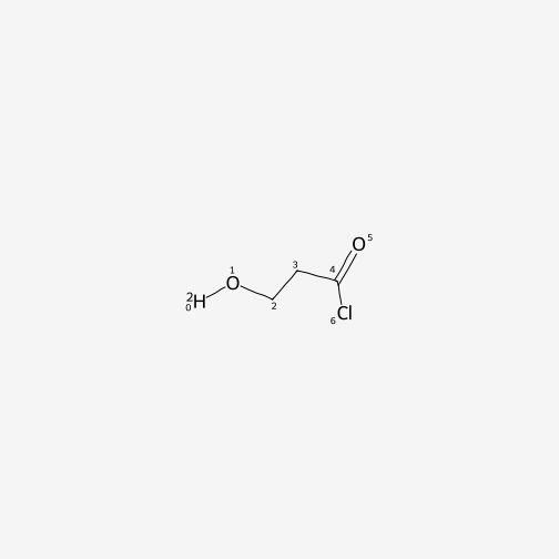 [2H]OCCC(=O)Cl